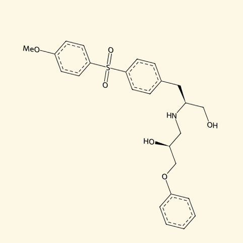 COc1ccc(S(=O)(=O)c2ccc(C[C@@H](CO)NC[C@H](O)COc3ccccc3)cc2)cc1